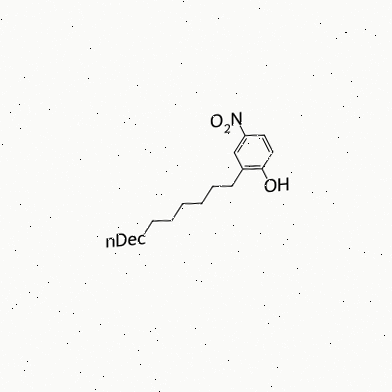 CCCCCCCCCCCCCCCCc1cc([N+](=O)[O-])ccc1O